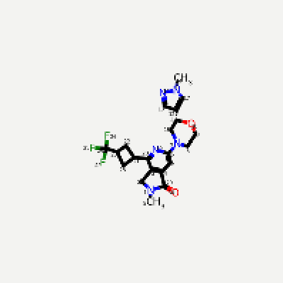 CN1Cc2c(cc(N3CCO[C@@H](c4cnn(C)c4)C3)nc2C2CC(C(F)(F)F)C2)C1=O